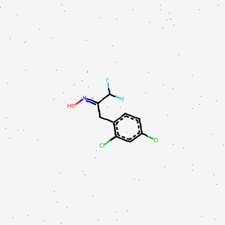 O/N=C(\Cc1ccc(Cl)cc1Cl)C(F)F